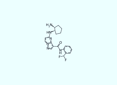 N[C@H]1CCCC[C@H]1Nc1ccn2ncc(C(=O)Nc3ccccc3C(F)F)c2n1